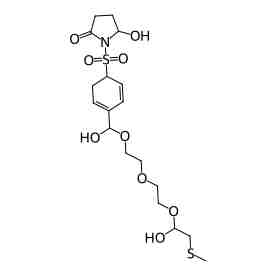 CSCC(O)OCCOCCOC(O)C1=CCC(S(=O)(=O)N2C(=O)CCC2O)C=C1